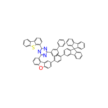 c1ccc(-c2cccc(-c3nc(-c4cccc5c4sc4ccccc45)nc(-c4cccc5oc6ccc(-c7ccc(-c8ccc9c(c8)-c8ccccc8C98c9ccccc9-c9ccccc98)cc7)cc6c45)n3)c2)cc1